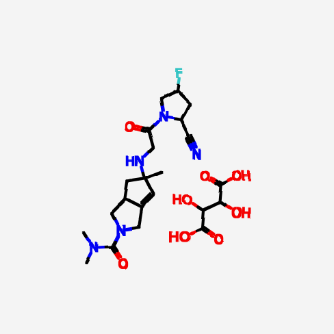 CN(C)C(=O)N1CC2=CC(C)(NCC(=O)N3CC(F)CC3C#N)CC2C1.O=C(O)C(O)C(O)C(=O)O